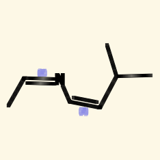 C/C=N\C=C/C(C)C